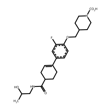 CC(O)CNC(=O)C1CC=C(c2ccc(OCC3CCN(C(=O)O)CC3)c(F)c2)CC1